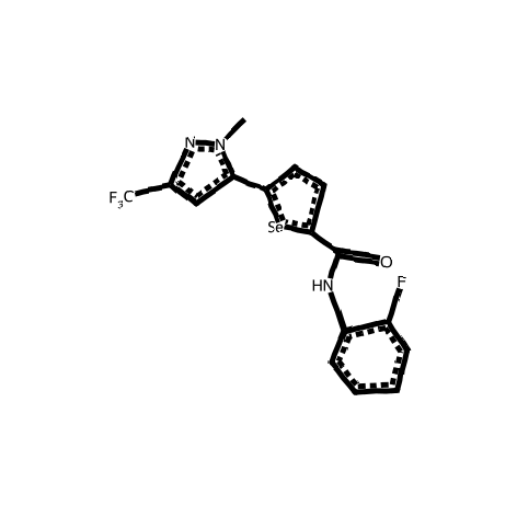 Cn1nc(C(F)(F)F)cc1-c1ccc(C(=O)Nc2ccccc2F)[se]1